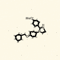 COc1ccc(C2NC=CN2c2ccc(OCc3ccccc3)cc2)cc1